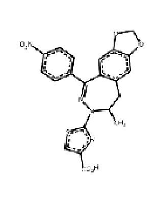 CC1Cc2cc3c(cc2C(c2ccc([N+](=O)[O-])cc2)=NN1c1nc(C(=O)O)cs1)OCO3